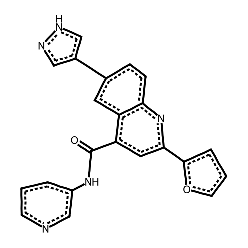 O=C(Nc1cccnc1)c1cc(-c2ccco2)nc2ccc(-c3cn[nH]c3)cc12